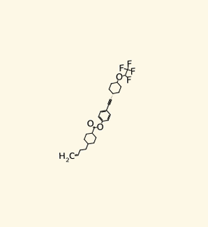 C=CCCC1CCC(C(=O)Oc2ccc(C#C[C@H]3CC[C@H](OC(F)C(F)(F)F)CC3)cc2)CC1